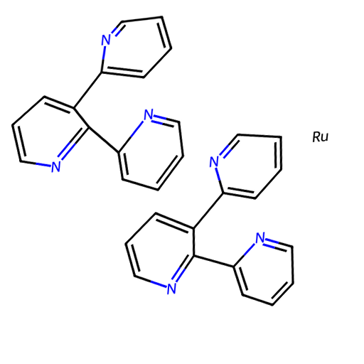 [Ru].c1ccc(-c2cccnc2-c2ccccn2)nc1.c1ccc(-c2cccnc2-c2ccccn2)nc1